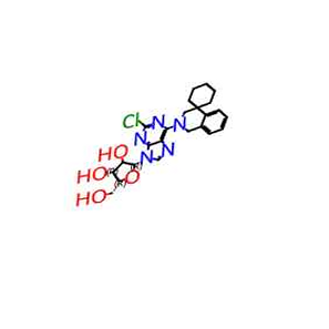 OC[C@H]1O[C@@H](n2cnc3c(N4Cc5ccccc5C5(CCCCC5)C4)nc(Cl)nc32)C(O)[C@H]1O